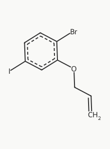 C=CCOc1cc(I)ccc1Br